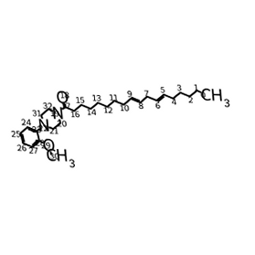 CCCCCC=CC/C=C/CCCCCCCC(=O)N1CCN(c2ccccc2OC)CC1